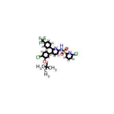 CC(C)(C)COc1cc(-c2ccc(NS(=O)(=O)c3cccc(Cl)n3)nc2-c2ccc(C(F)(F)F)cc2)ccc1Cl